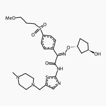 COCCCS(=O)(=O)c1ccc(/C(=N\O[C@@H]2CC[C@@H](O)C2)C(=O)Nc2ncc(CN3CCN(C)CC3)s2)cc1